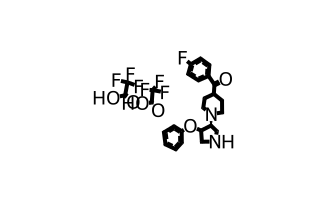 O=C(O)C(F)(F)F.O=C(O)C(F)(F)F.O=C(c1ccc(F)cc1)C1CCN([C@H]2CNCC2Oc2ccccc2)CC1